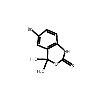 CC1(C)OC(=S)Nc2ccc(Br)cc21